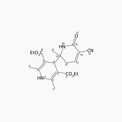 CCOC(=O)C1=C(C)NC(C)=C(C(=O)OCC)C1C1(C)CC=C(C#N)C(=O)N1